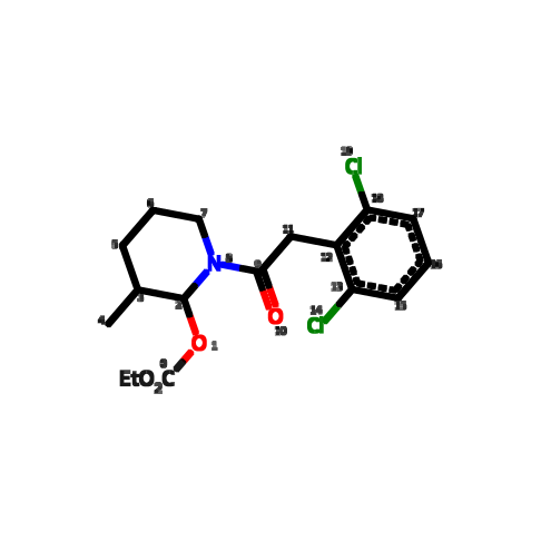 CCOC(=O)OC1C(C)CCCN1C(=O)Cc1c(Cl)cccc1Cl